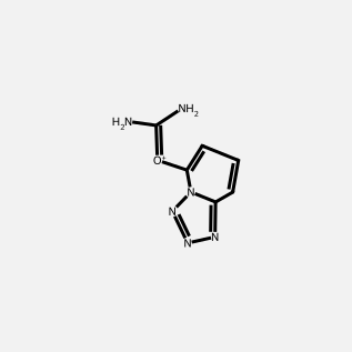 NC(N)=[O+]c1cccc2nnnn12